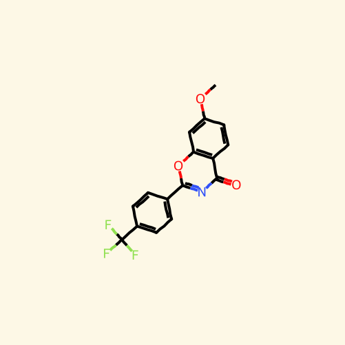 COc1ccc2c(=O)nc(-c3ccc(C(F)(F)F)cc3)oc2c1